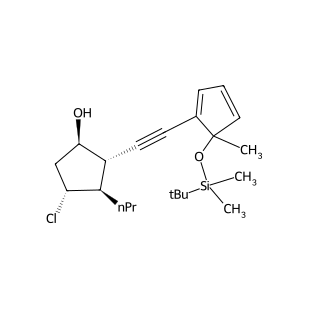 CCC[C@@H]1[C@@H](C#CC2=CC=CC2(C)O[Si](C)(C)C(C)(C)C)[C@H](O)C[C@H]1Cl